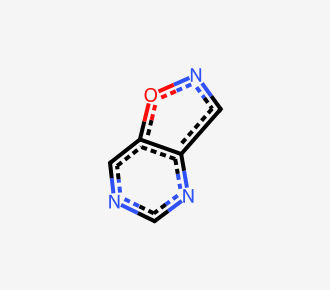 c1ncc2oncc2n1